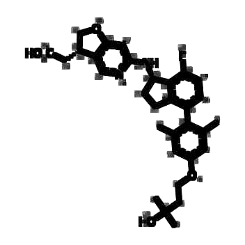 Cc1cc(OCCC(C)(C)O)cc(C)c1-c1ccc(F)c2c1CC[C@H]2Nc1cc2c(cn1)[C@H](CC(=O)O)CO2